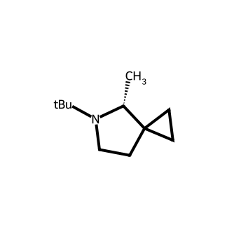 C[C@H]1N(C(C)(C)C)CCC12CC2